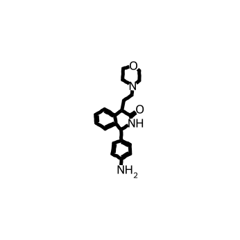 Nc1ccc(C2NC(=O)C(CCN3CCOCC3)c3ccccc32)cc1